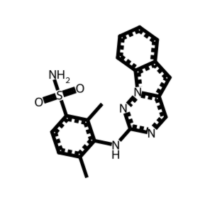 Cc1ccc(S(N)(=O)=O)c(C)c1Nc1ncc2cc3ccccc3n2n1